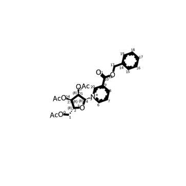 CC(=O)OC[C@H]1O[C@@H]([n+]2cccc(C(=O)OCc3ccccc3)c2)[C@H](OC(C)=O)[C@@H]1OC(C)=O